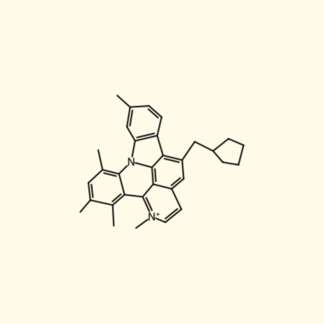 Cc1ccc2c3c(CC4CCCC4)cc4cc[n+](C)c5c6c(C)c(C)cc(C)c6n(c2c1)c3c45